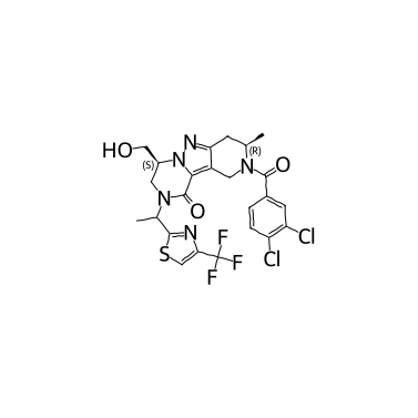 CC(c1nc(C(F)(F)F)cs1)N1C[C@@H](CO)n2nc3c(c2C1=O)CN(C(=O)c1ccc(Cl)c(Cl)c1)[C@H](C)C3